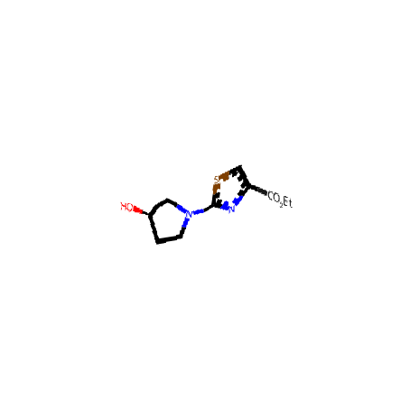 CCOC(=O)c1csc(N2CC[C@@H](O)C2)n1